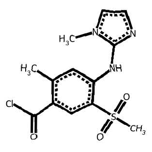 Cc1cc(Nc2nccn2C)c(S(C)(=O)=O)cc1C(=O)Cl